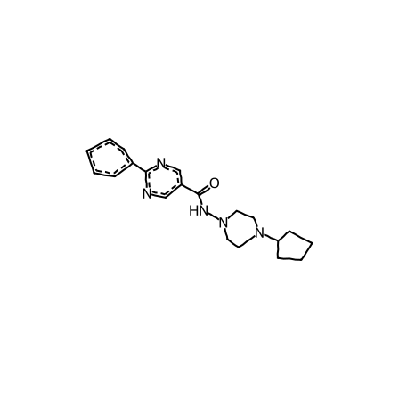 O=C(NN1CCN(C2CCCC2)CC1)c1cnc(-c2ccccc2)nc1